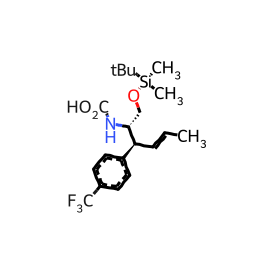 CC=C[C@@H](c1ccc(C(F)(F)F)cc1)[C@@H](CO[Si](C)(C)C(C)(C)C)NC(=O)O